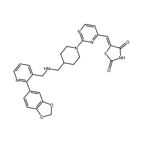 O=C1NC(=O)C(=Cc2ccnc(N3CCC(CNCc4cccnc4-c4ccc5c(c4)OCO5)CC3)n2)S1